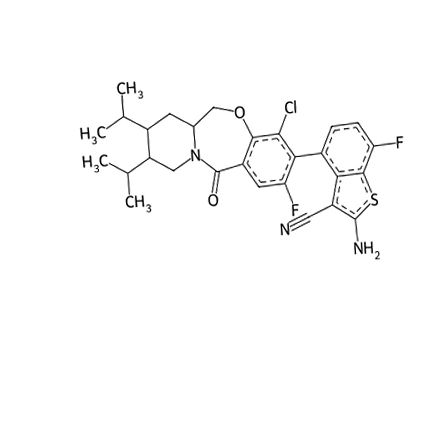 CC(C)C1CC2COc3c(cc(F)c(-c4ccc(F)c5sc(N)c(C#N)c45)c3Cl)C(=O)N2CC1C(C)C